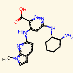 Cn1ccc2ccc(Nc3cc(N[C@@H]4CCCC[C@@H]4N)nnc3C(=O)O)nc21